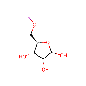 OC1O[C@H](COI)[C@@H](O)[C@H]1O